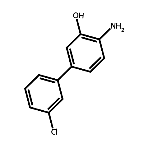 Nc1ccc(-c2cccc(Cl)c2)cc1O